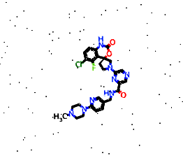 CN1CCN(c2ccc(CNC(=O)c3cncc(N4CC[C@]5(C4)OC(=O)Nc4ccc(Cl)c(F)c45)n3)cn2)CC1